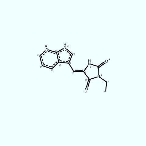 CCN1C(=O)N/C(=C\c2c[nH]c3ncccc23)C1=O